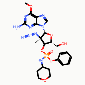 COc1nc(N)nc2c1ncn2[C@@H]1O[C@H](CO)C(OP(=O)(NC2CCOCC2)Oc2ccccc2)[C@@]1(C)N=[N+]=[N-]